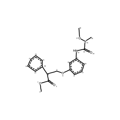 COC(=O)C(COc1cccc(NC(=O)N(C)OC)c1)c1ccccc1